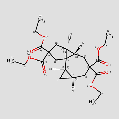 CCOC(=O)C1(C(=O)OCC)C[C@H]2C[C@H]2C23CC(C(=O)OCC)(C(=O)OCC)C[C@H]2[C@@H]3C1